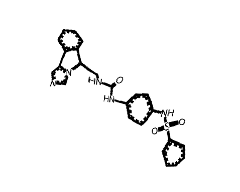 O=C(NCC1c2ccccc2-c2cncn21)Nc1ccc(NS(=O)(=O)c2ccccc2)cc1